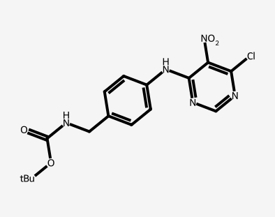 CC(C)(C)OC(=O)NCc1ccc(Nc2ncnc(Cl)c2[N+](=O)[O-])cc1